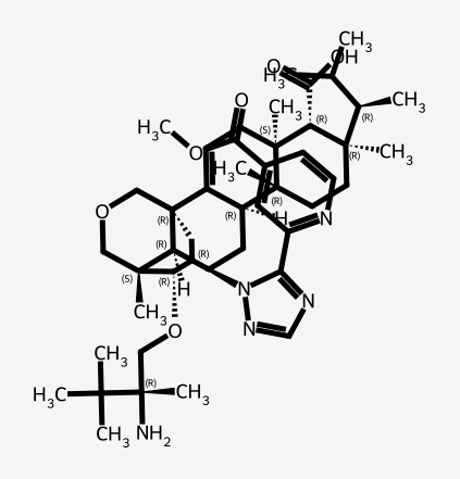 COC(=O)c1ccnc(-c2ncnn2[C@@H]2C[C@@]34COC[C@](C)([C@@H]3CC[C@H]3C4=CC[C@@]4(C)[C@H](C(=O)O)[C@@](C)([C@H](C)C(C)C)CC[C@]34C)[C@H]2OC[C@](C)(N)C(C)(C)C)c1